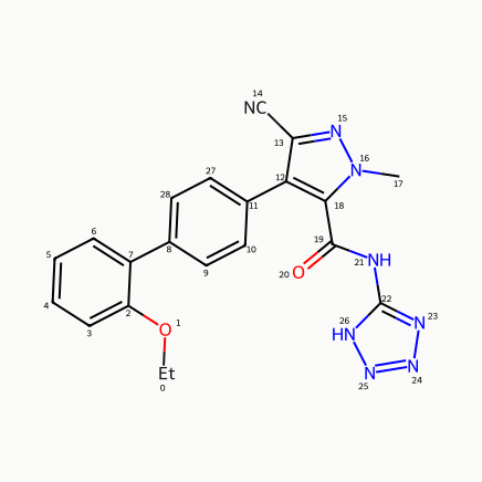 CCOc1ccccc1-c1ccc(-c2c(C#N)nn(C)c2C(=O)Nc2nnn[nH]2)cc1